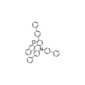 c1ccc(-c2ccc(-c3ccc(N(c4ccc(-c5ccccc5)cc4)c4ccc(-c5ccccc5)cc4)c4c3oc3cc5ccccc5cc34)cc2)cc1